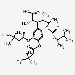 CC(C)C(C)OC(=O)OC(C)C(C)C(c1ccc(OC(=O)CC(C)(C)C)c(OC(=O)CC(C)(C)C)c1)[C@H](N)C(=O)O